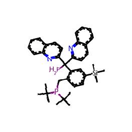 CC(C)(C)P(Cc1ccc([Si](C)(C)C)cc1C(P)(c1ccc2ccccc2n1)c1ccc2ccccc2n1)C(C)(C)C